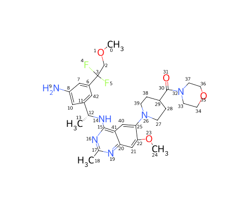 COCC(F)(F)c1cc(N)cc([C@@H](C)Nc2nc(C)nc3cc(OC)c(N4CCC(C(=O)N5CCOCC5)CC4)cc23)c1